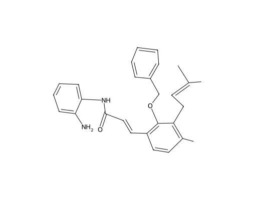 CC(C)=CCc1c(C)ccc(/C=C/C(=O)Nc2ccccc2N)c1OCc1ccccc1